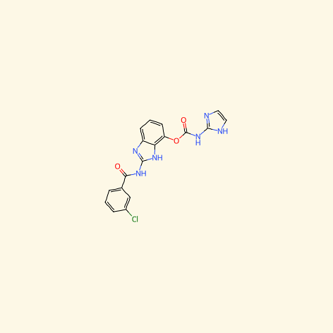 O=C(Nc1ncc[nH]1)Oc1cccc2nc(NC(=O)c3cccc(Cl)c3)[nH]c12